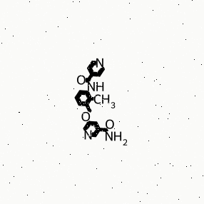 Cc1c(COc2cncc(C(N)=O)c2)cccc1NC(=O)c1ccncc1